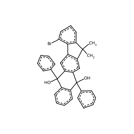 CC1(C)c2cc3c(cc2-c2c(Br)cccc21)C(O)(c1ccccc1)c1ccccc1C3(O)c1ccccc1